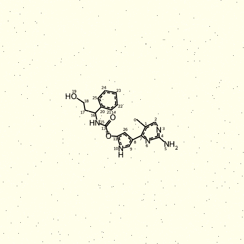 Cc1cnc(N)nc1-c1c[nH]c(OC(=O)NC(CCO)c2ccccc2)c1